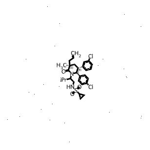 C=CC[C@@]1(C)C[C@H](c2cccc(Cl)c2)[C@@H](c2ccc(Cl)cc2)N(C(CNS(=O)(=O)C2CC2)C(C)C)C1=O